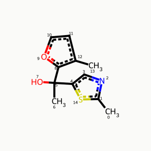 Cc1ncc(C(C)(O)c2occc2C)s1